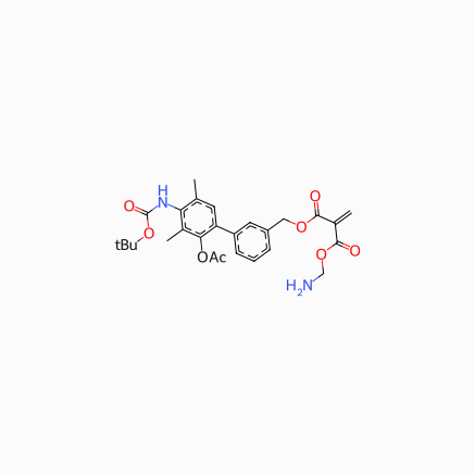 C=C(C(=O)OCN)C(=O)OCc1cccc(-c2cc(C)c(NC(=O)OC(C)(C)C)c(C)c2OC(C)=O)c1